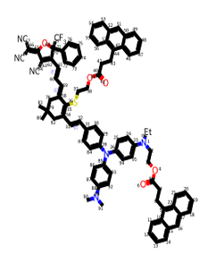 CCN(CCOC(=O)CCc1c2ccccc2cc2ccccc12)c1ccc(N(c2ccc(/C=C/C3=C(SCCOC(=O)CCc4c5ccccc5cc5ccccc45)C(=C/C=C/C4=C(C#N)C(=C(C#N)C#N)OC4(c4ccccc4)C(F)(F)F)/CC(C)(C)C3)cc2)c2ccc(N(C)C)cc2)cc1